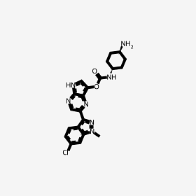 Cn1nc(-c2cnc3[nH]cc(OC(=O)N[C@H]4CC[C@H](N)CC4)c3n2)c2ccc(Cl)cc21